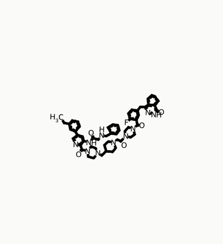 CCc1cccc(-c2cnc(C(=O)N3CCN(CC4CCN(CC(=O)N5CCN(C(=O)c6cc(Cc7n[nH]c(=O)c8ccccc78)ccc6F)CC5)CC4)CC3)c(NC(=O)CNCc3ccccc3)c2)c1